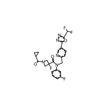 O=C(C1CC1)N1CC(F)(C(=O)N(Cc2ccc(-c3nnc(C(F)F)o3)cn2)c2cccc(F)c2)C1